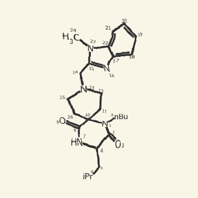 CCCCN1C(=O)C(CC(C)C)NC(=O)C12CCN(Cc1nc3ccccc3n1C)CC2